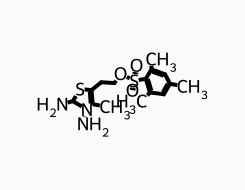 CC1=C(CCOS(=O)(=O)c2c(C)cc(C)cc2C)SC(N)N1N